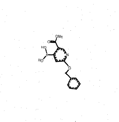 COC(=O)c1cnc(OCc2ccccc2)cc1B(O)O